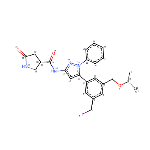 C[C@@H](OCc1cc(CI)cc(-c2cc(NC(=O)[C@@H]3CNC(=O)C3)nn2-c2ccccc2)c1)C(F)(F)F